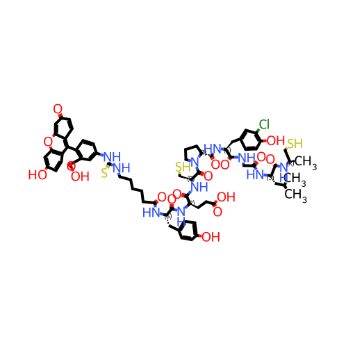 CC(C)C[C@H](NC(=O)CNC(=O)[C@H](Cc1ccc(O)c(Cl)c1)NC(=O)[C@H]1CCCN1C(=O)[C@H](CS)NC(=O)[C@@H](CCC(=O)O)NC(=O)[C@H](Cc1ccc(O)cc1)NC(=O)CCCCCNC(=S)Nc1ccc(-c2c3ccc(=O)cc-3oc3cc(O)ccc23)c(C(=O)O)c1)C(=O)N[C@H](C)CS